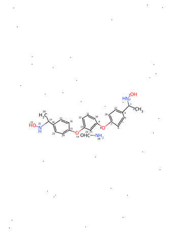 CC(NO)c1ccc(Oc2cccc(Oc3ccc(C(C)NO)cc3)c2)cc1.NC=O